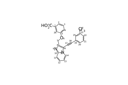 O=C(O)c1cccc(OCc2nc3ccccn3c2C#Cc2cccc(C(F)(F)F)c2)c1